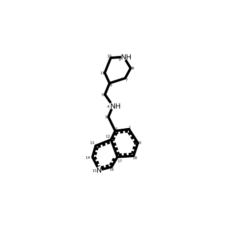 c1cc(CNCC2CCNCC2)c2ccncc2c1